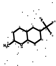 CC1CCC2CC(C(F)(F)F)CCC2O1